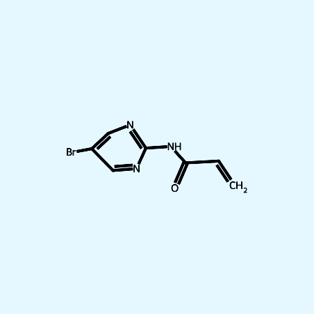 C=CC(=O)Nc1ncc(Br)cn1